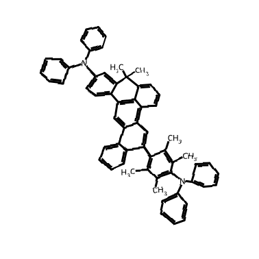 Cc1c(C)c(N(c2ccccc2)c2ccccc2)c(C)c(C)c1-c1cc2c3cccc4c3c(cc2c2ccccc12)-c1ccc(N(c2ccccc2)c2ccccc2)cc1C4(C)C